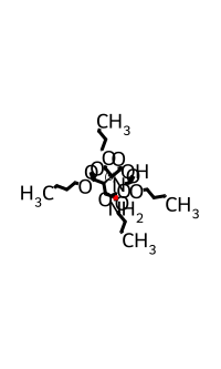 CCCCOC(=O)C(CC(N)=O)[C@](C(=O)O)(C(=O)OCCCC)N(C(=O)OCCCC)C(=O)OCCCC